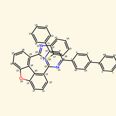 c1ccc(-c2ccc(-c3cc(-c4ccccc4)nc(-c4cccc5oc6cccc(-c7nc8ccccc8s7)c6c45)n3)cc2)cc1